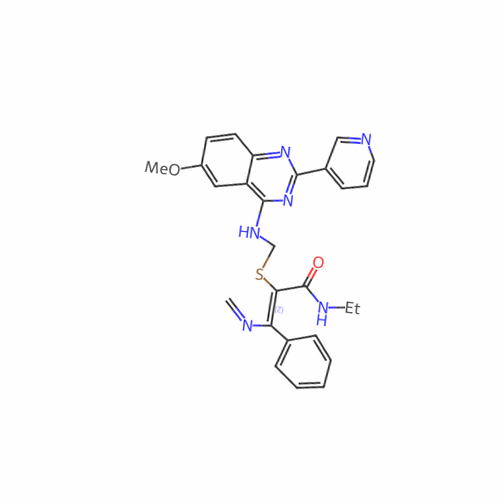 C=N/C(=C(\SCNc1nc(-c2cccnc2)nc2ccc(OC)cc12)C(=O)NCC)c1ccccc1